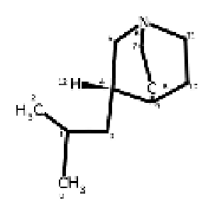 CC(C)C[C@@H]1CN2CCC1CC2